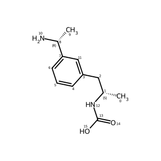 C[C@@H](Cc1cccc([C@@H](C)N)c1)NC(=O)O